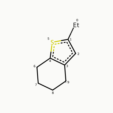 CCc1cc2c(s1)CCC[CH]2